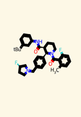 Cc1cccc(F)c1C(=O)N1CCC[C@H](C(=O)NC2C=CC=C(C(C)(C)C)C2)[C@@H]1c1ccc(CN2CC[C@@H](F)C2)cc1